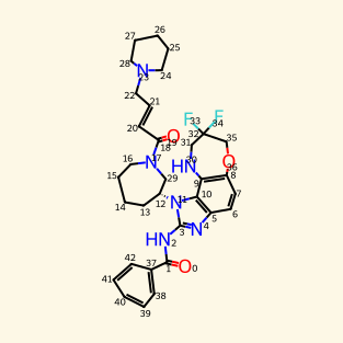 O=C(Nc1nc2ccc3c(c2n1[C@@H]1CCCCN(C(=O)/C=C/CN2CCCCC2)C1)NCC(F)(F)CO3)c1ccccc1